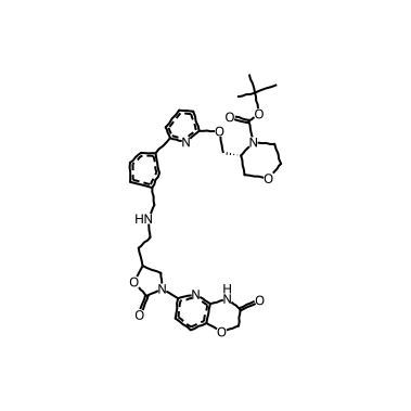 CC(C)(C)OC(=O)N1CCOC[C@@H]1COc1cccc(-c2cccc(CNCCC3CN(c4ccc5c(n4)NC(=O)CO5)C(=O)O3)c2)n1